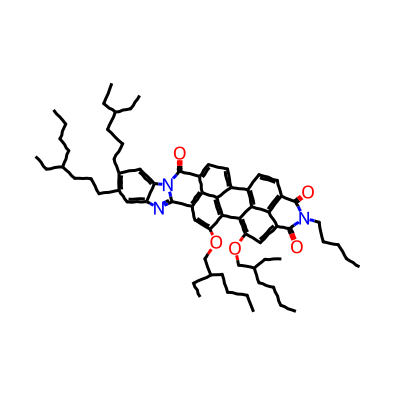 CCCCCN1C(=O)c2ccc3c4ccc5c(=O)n6c7cc(CCCC(CC)CC)c(CCCC(CC)CCCC)cc7nc6c6cc(OCC(CC)CCCC)c(c7c(OCC(CC)CCCC)cc(c2c37)C1=O)c4c56